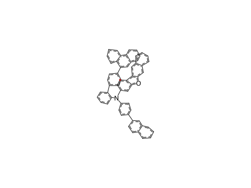 c1ccc(N(c2ccc(-c3ccc4ccccc4c3)cc2)c2ccc3c(c2)oc2cc4ccccc4cc23)c(-c2ccc(-c3cc4ccccc4c4ccccc34)cc2)c1